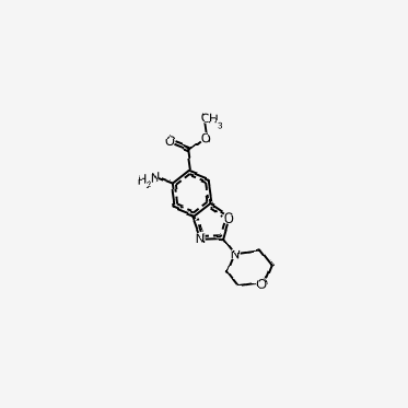 COC(=O)c1cc2oc(N3CCOCC3)nc2cc1N